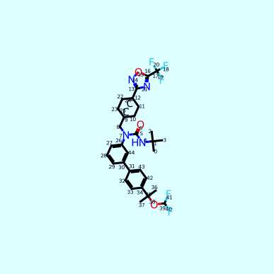 CC(C)(C)NC(=O)N(CC12CCC(c3noc(C(F)(F)F)n3)(CC1)CC2)c1cccc(-c2ccc(C(C)(C)OC(F)F)cc2)c1